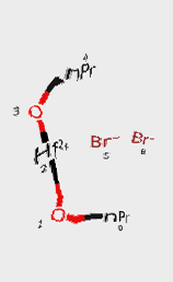 CCC[O][Hf+2][O]CCC.[Br-].[Br-]